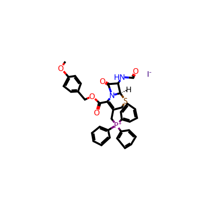 COc1ccc(COC(=O)C2=C(C[P+](c3ccccc3)(c3ccccc3)c3ccccc3)CS[C@@H]3C(NC=O)C(=O)N23)cc1.[I-]